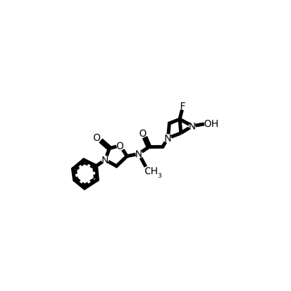 CN(C(=O)CN1CC2(F)C1N2O)C1CN(c2ccccc2)C(=O)O1